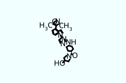 Cc1noc(C)c1-c1cccc2c1ccn2-c1ccnc(N[C@H]2CC[C@H](C(=O)N3CCC(O)CC3)CC2)n1